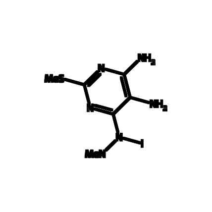 CNN(I)c1nc(SC)nc(N)c1N